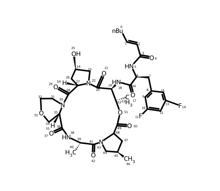 CCCC/C=C/C(=O)N[C@@H](Cc1cc(F)cc(F)c1)C(=O)N[C@@H]1C(=O)N2C[C@H](O)C[C@H]2C(=O)N2CCOC[C@H]2C(=O)N[C@@H](C)C(=O)N2C[C@H](C)CC2C(=O)O[C@H]1C